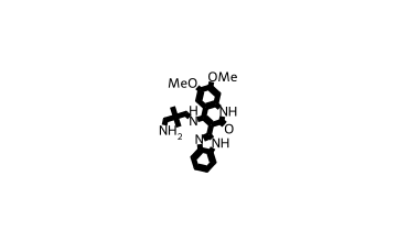 COc1cc2[nH]c(=O)c(-c3nc4ccccc4[nH]3)c(NCC(C)(C)CN)c2cc1OC